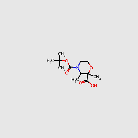 CC1N(C(=O)OC(C)(C)C)CCOC1(C)C(=O)O